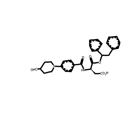 O=CC1CCN(c2ccc(C(=O)N[C@H](CC(=O)O)C(=O)OC(Cc3ccccc3)c3ccccc3)cc2)CC1